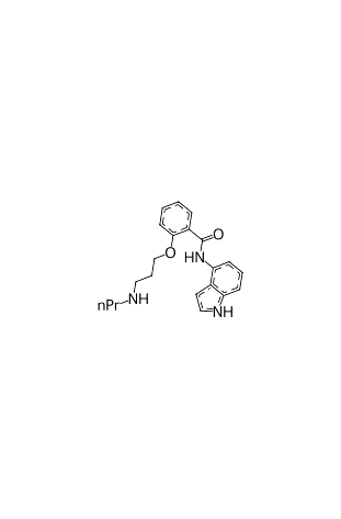 CCCNCCCOc1ccccc1C(=O)Nc1cccc2[nH]ccc12